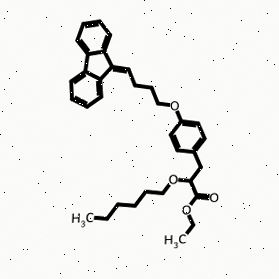 CCCCCCOC(Cc1ccc(OCCCC=C2c3ccccc3-c3ccccc32)cc1)C(=O)OCC